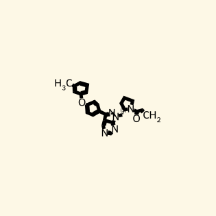 C=CC(=O)N1CCC[C@H]1Cn1nc(-c2ccc(Oc3cccc(C)c3)cc2)c2cncnc21